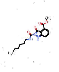 CCCCCCNC(=O)n1[nH]c2cccc(C(=O)OC)c2c1=O